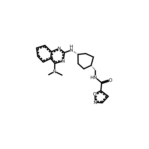 CN(C)c1nc(N[C@H]2CC[C@@H](CNC(=O)c3ccno3)CC2)nc2ccccc12